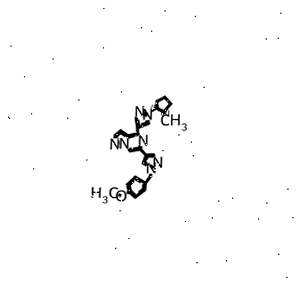 COc1ccc(Cn2cc(-c3cn4nccc4c(-c4cnn([C@H]5CCC[C@H]5C)c4)n3)cn2)cc1